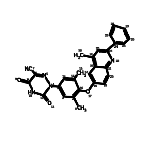 Cc1cc(-n2nc(C#N)c(=O)[nH]c2=O)cc(C)c1Oc1ccc2nc(-c3ccccc3)cc(C)c2c1